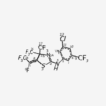 FC(=C1SC(Nc2cc(C(F)(F)F)cc(Cl)n2)=NC1(C(F)(F)F)C(F)(F)F)C(F)(F)F